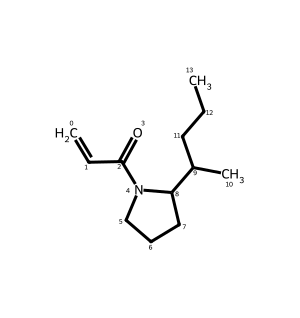 C=CC(=O)N1CCCC1C(C)CCC